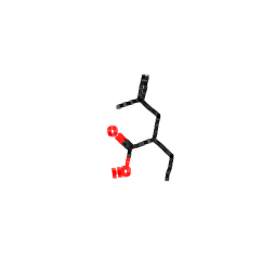 C=C(C)CC(CC)C(=O)O